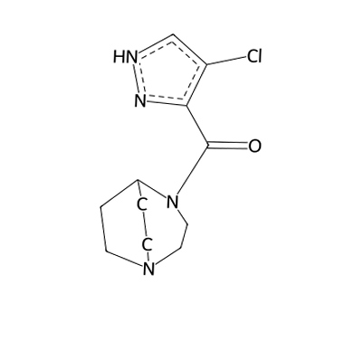 O=C(c1n[nH]cc1Cl)N1CCN2CCC1CC2